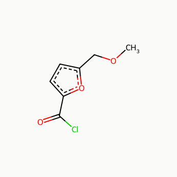 COCc1ccc(C(=O)Cl)o1